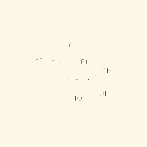 CCC(Cl)CP(O)(O)(O)CC